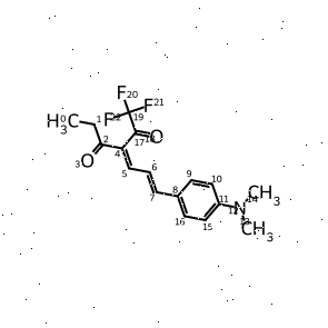 CCC(=O)/C(=C/C=C/c1ccc(N(C)C)cc1)C(=O)C(F)(F)F